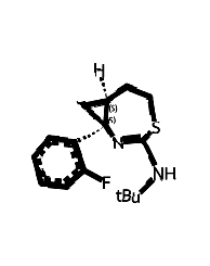 CC(C)(C)NC1=N[C@@]2(c3ccccc3F)C[C@H]2CCS1